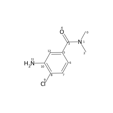 CN(C)C(=O)c1ccc(Cl)c(N)c1